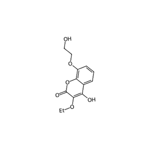 CCOc1c(O)c2cccc(OCCO)c2oc1=O